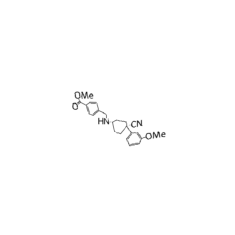 COC(=O)c1ccc(CN[C@H]2CC[C@](C#N)(c3cccc(OC)c3)CC2)cc1